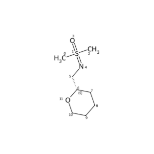 CS(C)(=O)=NC[C@@H]1CCCCO1